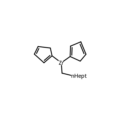 CCCCCCC[CH2][Zr]([C]1=CC=CC1)[C]1=CC=CC1